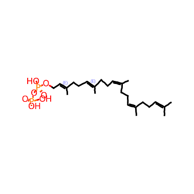 CC(C)=CCCC(C)=CCCC(C)=CCC/C(C)=C/CC/C(C)=C/COP(=O)(O)OP(=O)(O)O